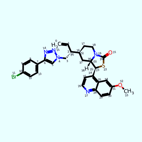 C=C[C@@H](Cn1cc(-c2ccc(Br)cc2)nn1)[C@H]1CCN2C(=O)S[C@@H](c3ccnc4ccc(OC)cc34)[C@@H]2C1